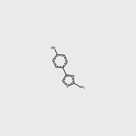 Nc1nc(-c2ccc(N=O)cc2)cs1